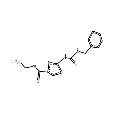 CCOC(=O)CNC(=O)c1csc(NC(=O)NCc2ccccc2)n1